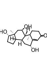 C[C@]12C[C@@H](O)[C@H]3[C@@H](C[C@@H](O)C4=CC(=O)CC[C@@]43C)[C@@H]1CC[C@@H]2O